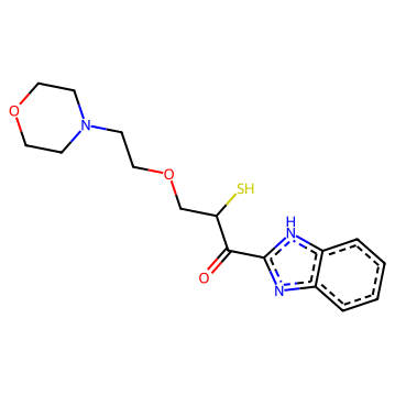 O=C(c1nc2ccccc2[nH]1)C(S)COCCN1CCOCC1